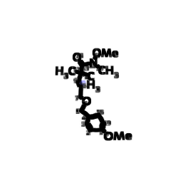 COc1ccc(COC/C=C/C(C)(C)C(=O)N(C)OC)cc1